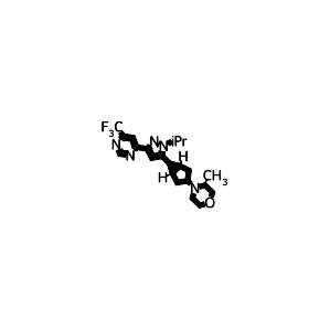 CC(C)n1nc(-c2cc(C(F)(F)F)ncn2)cc1C1[C@H]2CC(N3CCOC[C@H]3C)C[C@@H]12